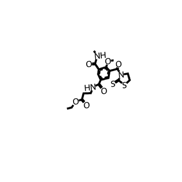 CCOC(=O)CCNC(=O)c1cc(C(=O)NC)c(OC)c(C(=O)N2CCSC2=S)c1